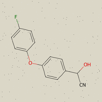 N#CC(O)c1ccc(Oc2ccc(F)cc2)cc1